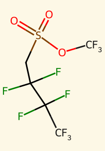 O=S(=O)(CC(F)(F)C(F)(F)C(F)(F)F)OC(F)(F)F